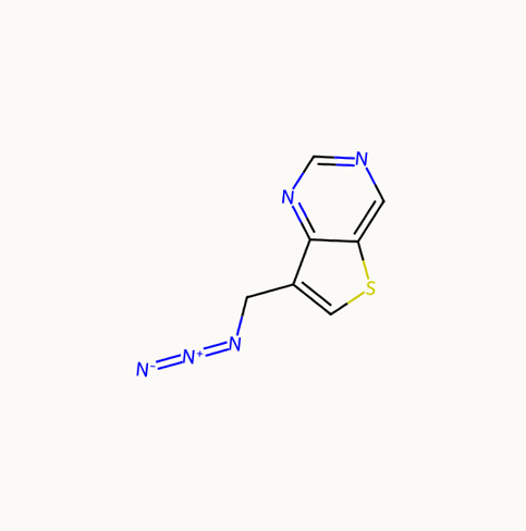 [N-]=[N+]=NCc1csc2cncnc12